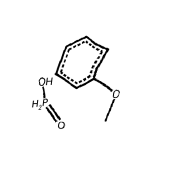 COc1ccccc1.O=[PH2]O